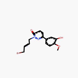 COc1ccc(-c2ccc(=O)n(C/C=C/CBr)n2)cc1O